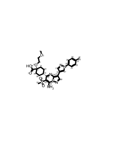 COCCO[C@]1(C(=O)O)CC[C@H](c2nc3c(-c4cnn(-c5ccc(F)cc5)c4)cnn3c(N)c2S(C)(=O)=O)CC1